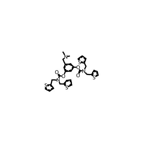 CN(C)Cc1cc(OC(=O)N(Cc2cccs2)Cc2cccs2)cc(OC(=O)N(Cc2cccs2)Cc2cccs2)c1